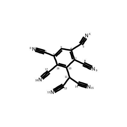 N#Cc1cc(C#N)c(C#N)c(C(C#N)C#N)c1C#N